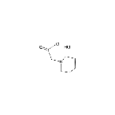 Cl.O=C(Cl)CN1CCCCC1